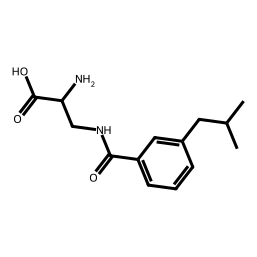 CC(C)Cc1cccc(C(=O)NCC(N)C(=O)O)c1